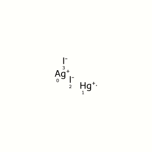 [Ag+].[Hg+].[I-].[I-]